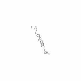 CCCCCc1cc2sc(C(=O)Oc3ccc(OCCCC)cc3)cc2s1